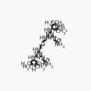 CC1(C)CC(Nc2nc(N=CC(N)=O)nc(NCCOCCNc3nc(N=CC(N)=O)nc(NC4CC(C)(C)NC(C)(C)C4)n3)n2)CC(C)(C)N1